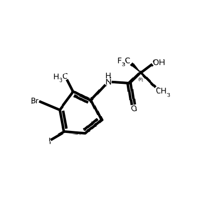 Cc1c(NC(=O)[C@@](C)(O)C(F)(F)F)ccc(I)c1Br